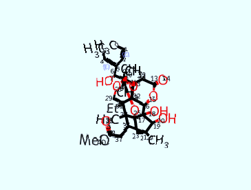 C/C=C\C(=C/C)C(O)C(C)(C)C1CC(=O)OC2C3(O)C(O)C4(C)CC35OC3(C)OCC(CC)(C12O3)C5(C)C4CC(=O)OC